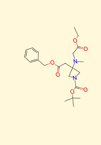 CCOC(=O)CN(C)C1(CC(=O)OCc2ccccc2)CN(C(=O)OC(C)(C)C)C1